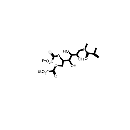 C=C(C)C(=O)N(C)CC(O)C(O)C(O)C(COC(=O)C(=O)OCC)OC(=O)C(=O)OCC